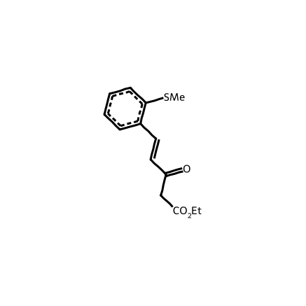 CCOC(=O)CC(=O)C=Cc1ccccc1SC